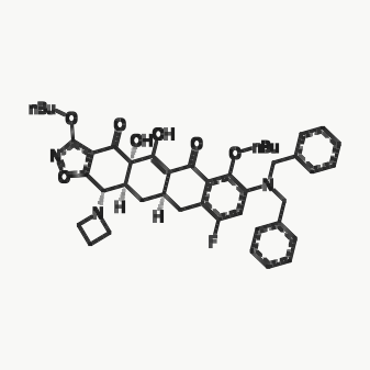 CCCCOc1noc2c1C(=O)[C@@]1(O)C(O)=C3C(=O)c4c(c(F)cc(N(Cc5ccccc5)Cc5ccccc5)c4OCCCC)C[C@H]3C[C@H]1[C@@H]2N1CCC1